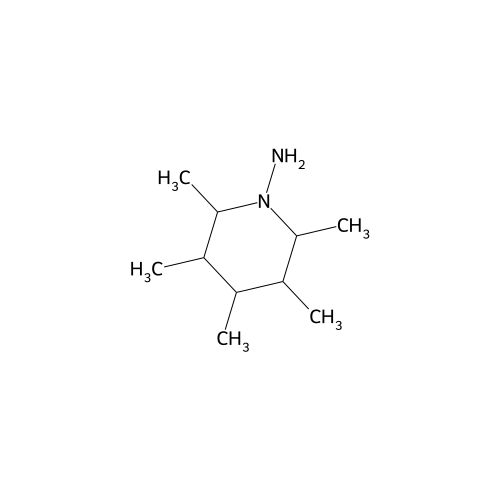 CC1C(C)C(C)N(N)C(C)C1C